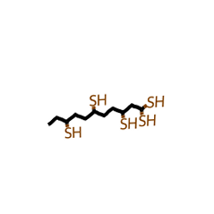 CCC(S)CCC(S)CCC(S)CC(S)S